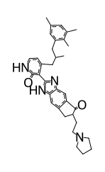 Cc1cc(C)c(C)c(CC(C)Cc2cc[nH]c(=O)c2-c2nc3cc4c(cc3[nH]2)CC(CCN2CCCC2)C4=O)c1